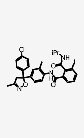 CC1=NOC(c2ccc(Cl)cc2)(c2ccc(NC(=O)c3cccc(I)c3C(=O)NC(C)C)c(C)c2)C1